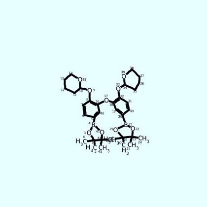 CC1(C)OB(c2ccc(OC3CCCCO3)c(Oc3cc(B4OC(C)(C)C(C)(C)O4)ccc3OC3CCCCO3)c2)OC1(C)C